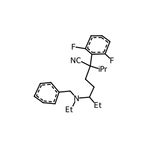 CCC(CCC(C#N)(c1c(F)cccc1F)C(C)C)N(CC)Cc1ccccc1